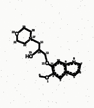 COc1cc2[c]ccnc2cc1OCC(O)CN1CCOCC1